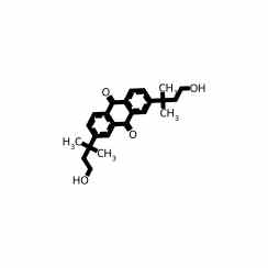 CC(C)(CCO)c1ccc2c(c1)C(=O)c1cc(C(C)(C)CCO)ccc1C2=O